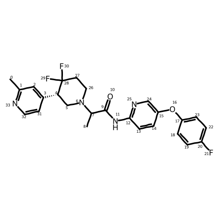 Cc1cc([C@H]2CN(C(C)C(=O)Nc3ccc(Oc4ccc(F)cc4)cn3)CCC2(F)F)ccn1